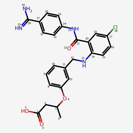 CC(CC(=O)O)Oc1cccc(CNc2ccc(Cl)cc2C(=O)Nc2ccc(C(=N)N)cc2)c1